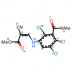 CNC(=O)c1c(Cl)c(Cl)cc(NC=C(C#N)C(=O)OC)c1Cl